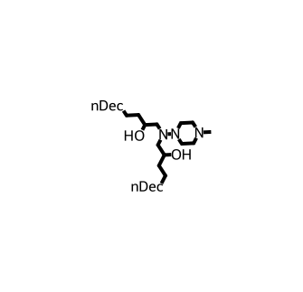 CCCCCCCCCCCCC(O)CN(CC(O)CCCCCCCCCCCC)N1CCN(C)CC1